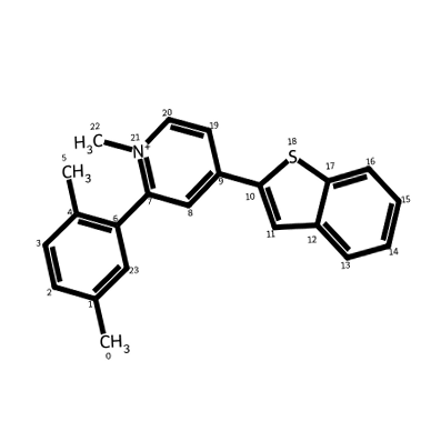 Cc1ccc(C)c(-c2cc(-c3cc4ccccc4s3)cc[n+]2C)c1